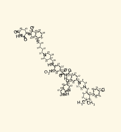 CC1(C)CCC(CN2CCN(c3ccc(C(=O)NS(=O)(=O)c4ccc(NCC5CCN(CCCCSc6cccc7c6CN(C6CCC(=O)NC6=O)C7=O)CC5)c([N+](=O)[O-])c4)c(Oc4cnc5[nH]ccc5c4)c3)CC2)=C(c2ccc(Cl)cc2)C1